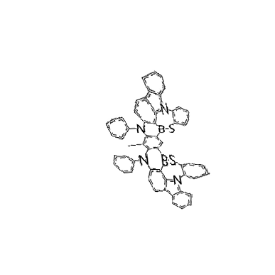 Cc1c2c(cc3c1N(c1ccccc1)c1ccc4c5ccccc5n5c4c1B3Sc1ccccc1-5)B1Sc3ccccc3-n3c4ccccc4c4ccc(c1c43)N2c1ccccc1